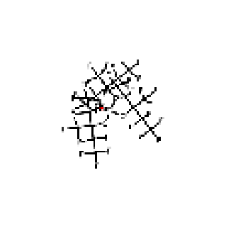 O=P(OC(C(F)(F)F)(C(F)(F)C(F)(F)F)C(F)(F)C(F)(F)F)(OC(C(F)(F)F)(C(F)(F)C(F)(F)F)C(F)(F)C(F)(F)F)OC(C(F)(F)F)(C(F)(F)C(F)(F)F)C(F)(F)C(F)(F)F